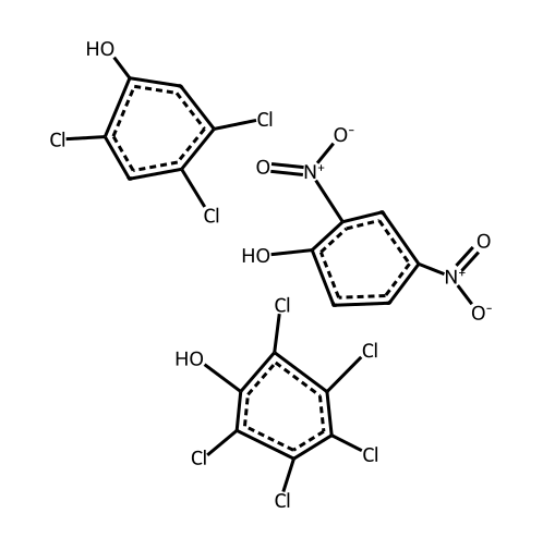 O=[N+]([O-])c1ccc(O)c([N+](=O)[O-])c1.Oc1c(Cl)c(Cl)c(Cl)c(Cl)c1Cl.Oc1cc(Cl)c(Cl)cc1Cl